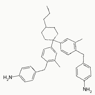 CCCC1CCC(c2ccc(Cc3ccc(N)cc3)c(C)c2)(c2ccc(Cc3ccc(N)cc3)c(C)c2)CC1